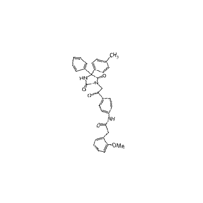 COc1ccccc1CC(=O)Nc1ccc(C(=O)CN2C(=O)NC(c3ccccc3)(c3ccc(C)cc3)C2=O)cc1